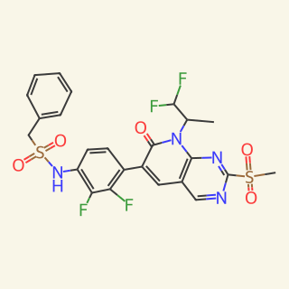 CC(C(F)F)n1c(=O)c(-c2ccc(NS(=O)(=O)Cc3ccccc3)c(F)c2F)cc2cnc(S(C)(=O)=O)nc21